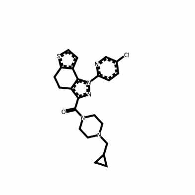 O=C(c1nn(-c2ccc(Cl)cn2)c2c1CCc1sccc1-2)N1CCN(CC2CC2)CC1